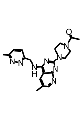 CC(=O)N1CCN(c2nc(NCc3ccc(C)nn3)c3cc(C)cnc3n2)CC1